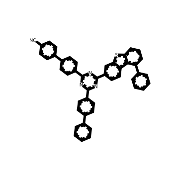 N#Cc1ccc(-c2ccc(-c3nc(-c4ccc(-c5ccccc5)cc4)nc(-c4ccc5c(c4)sc4cccc(-c6ccccc6)c45)n3)cc2)cc1